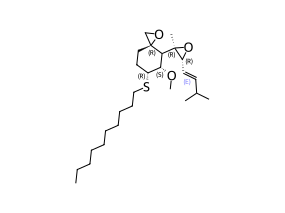 CCCCCCCCCCS[C@@H]1CC[C@]2(CO2)C([C@@]2(C)O[C@@H]2/C=C/C(C)C)[C@@H]1OC